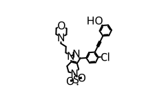 CS(=O)(=O)N1CCc2c(c(-c3ccc(Cl)c(C#Cc4cccc(O)c4)c3)nn2CCCN2CCOCC2)C1